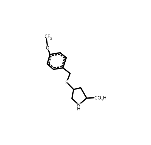 O=C(O)C1CC(SCc2ccc(OC(F)(F)F)cc2)CN1